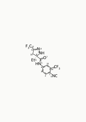 [C-]#[N+]c1ccc(NC(=O)[C@@]2(CC)CC(C(F)(F)F)=NN2)cc1C(F)(F)F